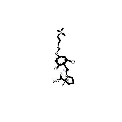 C[C@]1(C(=O)O)CCCN1/N=C/c1c(Cl)cc(OCOCC[Si](C)(C)C)cc1Cl